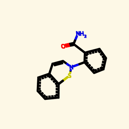 NC(=O)c1ccccc1N1C=Cc2ccccc2S1